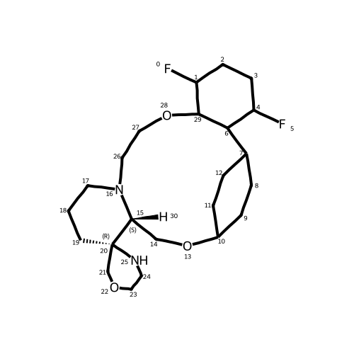 FC1CCC(F)C2C3CCC(CC3)OC[C@H]3N(CCC[C@]34COCCN4)CCOC12